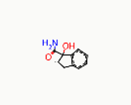 NC(=O)C1(O)[CH]Cc2ccccc21